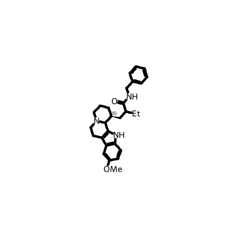 CCC(C[C@@H]1CCCN2CCc3c([nH]c4ccc(OC)cc34)C12)C(=O)NCc1ccccc1